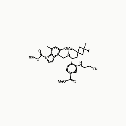 COC(=O)c1ccc([C@H]2CC3(CCN2Cc2c(OC)cc(C)c4c2ccn4C(=O)OC(C)(C)C)CC(F)(F)C3)c(NCCC#N)c1